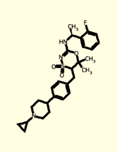 C[C@H](NC1=NS(=O)(=O)C(Cc2ccc(C3CCN(C4CC4)CC3)cc2)C(C)(C)O1)c1ccccc1F